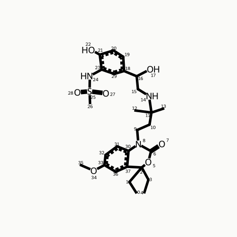 CCC1(CC)OC(=O)N(CCC(C)(C)NCC(O)c2ccc(O)c(NS(C)(=O)=O)c2)c2ccc(OC)cc21